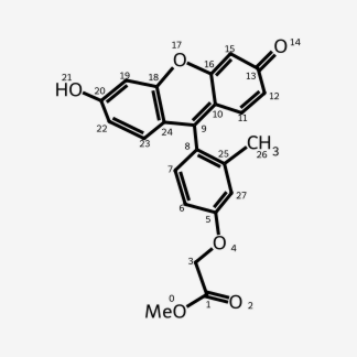 COC(=O)COc1ccc(-c2c3ccc(=O)cc-3oc3cc(O)ccc23)c(C)c1